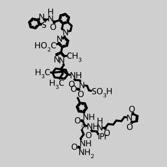 Cc1c(-c2ccc(N3CCc4cccc(C(=O)Nc5nc6ccccc6s5)c4C3)nc2C(=O)O)cnn1CC12CC3(C)CC(C)(C1)CC(NC(=O)CN(CCS(=O)(=O)O)C(=O)OCc1ccc(NC(=O)[C@H](CCCNC(N)=O)NC(=O)C(NC(=O)CCCCCN4C(=O)C=CC4=O)C(C)C)cc1)(C3)C2